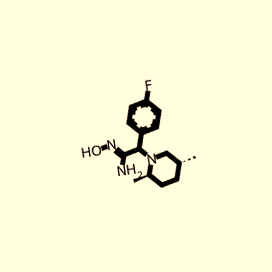 C[C@@H]1CC[C@@H](C)N(C(/C(N)=N/O)c2ccc(F)cc2)C1